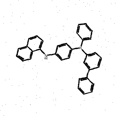 c1ccc(-c2cccc(N(c3ccccc3)c3ccc(Nc4cccc5ccccc45)cc3)c2)cc1